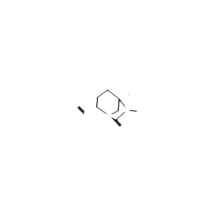 CN1C(=O)N2C[C@H]1CC[C@H]2C=O